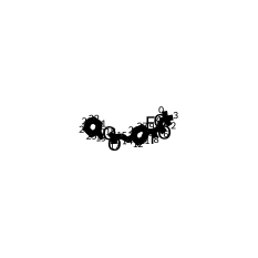 CC(C)(C)OC(=O)C(F)(F)c1ccc(CCC(=O)OCc2ccccc2)cc1